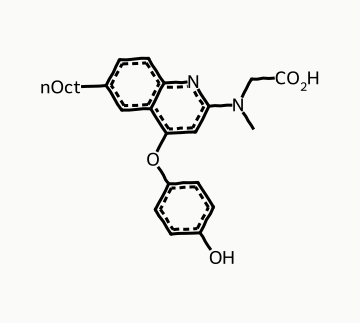 CCCCCCCCc1ccc2nc(N(C)CC(=O)O)cc(Oc3ccc(O)cc3)c2c1